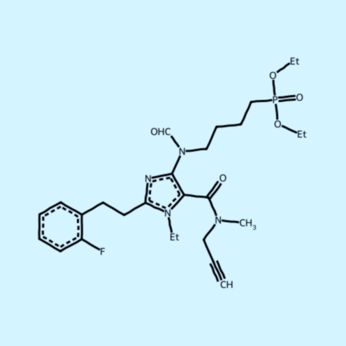 C#CCN(C)C(=O)c1c(N(C=O)CCCCP(=O)(OCC)OCC)nc(CCc2ccccc2F)n1CC